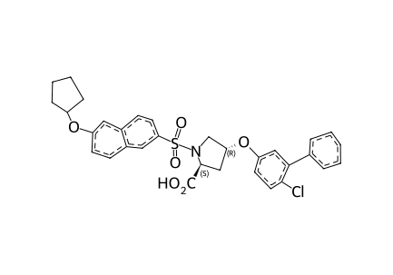 O=C(O)[C@@H]1C[C@@H](Oc2ccc(Cl)c(-c3ccccc3)c2)CN1S(=O)(=O)c1ccc2cc(OC3CCCC3)ccc2c1